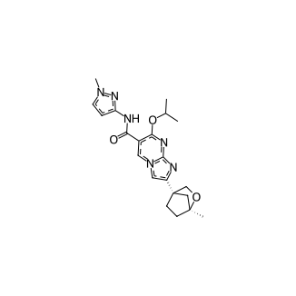 CC(C)Oc1nc2nc([C@@]34CC[C@@](C)(C3)OC4)cn2cc1C(=O)Nc1ccn(C)n1